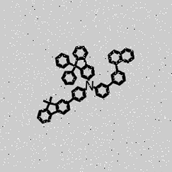 CC1(C)c2ccccc2-c2ccc(-c3ccc(N(c4cccc(-c5cccc(-c6cccc7ccccc67)c5)c4)c4ccc5c(c4)C(c4ccccc4)(c4ccccc4)c4ccccc4-5)cc3)cc21